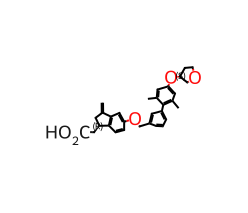 C=C1C[C@H](CC(=O)O)c2ccc(OCc3cccc(-c4c(C)cc(O[C@H]5CCOC5)cc4C)c3)cc21